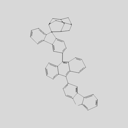 c1ccc2c(c1)-c1cc(-c3c4ccccc4c(-c4ccc5oc6ccccc6c5c4)c4ccccc34)ccc1C21C2CC3CC(C2)CC1C3